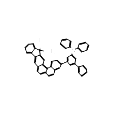 CC1(C)c2ccccc2-c2cc3ccc4ccc5cc(-c6cc(-c7ccccc7)cc(N(c7ccccc7)c7ccccc7)c6)ccc5c4c3cc21